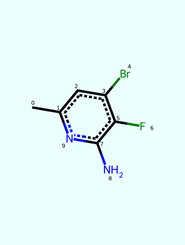 Cc1cc(Br)c(F)c(N)n1